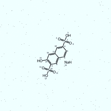 O=S(=O)(O)c1ccc2cc(S(=O)(=O)O)c(O)cc2c1.[NaH]